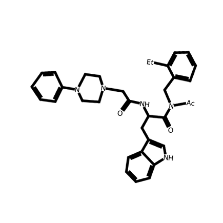 CCc1ccccc1CN(C(C)=O)C(=O)C(Cc1c[nH]c2ccccc12)NC(=O)CN1CCN(c2ccccc2)CC1